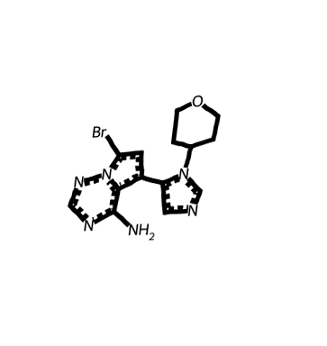 Nc1ncnn2c(Br)cc(-c3cncn3C3CCOCC3)c12